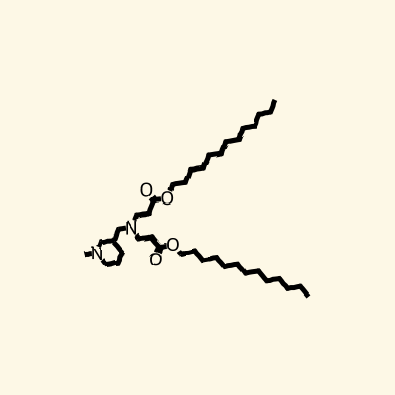 CCCCCCCCCCCCCOC(=O)CCN(CCC(=O)OCCCCCCCCCCCCC)CC1CCCN(C)C1